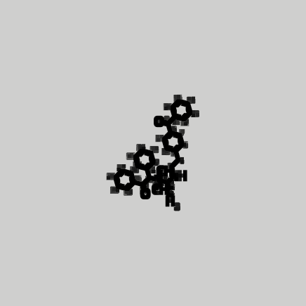 CC(NCCc1ccc(C(=O)c2ccccc2)cc1)[N+](C)(C)C(C(=O)c1ccccc1)c1ccccc1